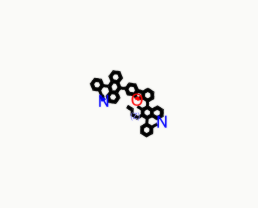 C=C/C=C\c1c(C)c(-c2cccc3c2oc2cc(-c4c5ccccc5c(-c5ccccc5C#N)c5ccccc45)ccc23)c2ccccc2c1-c1ccccc1C#N